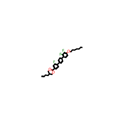 C=CCCC1COC(c2ccc(-c3ccc(-c4ccc(OCCCCCCC)c(F)c4F)cc3)c(F)c2)OC1